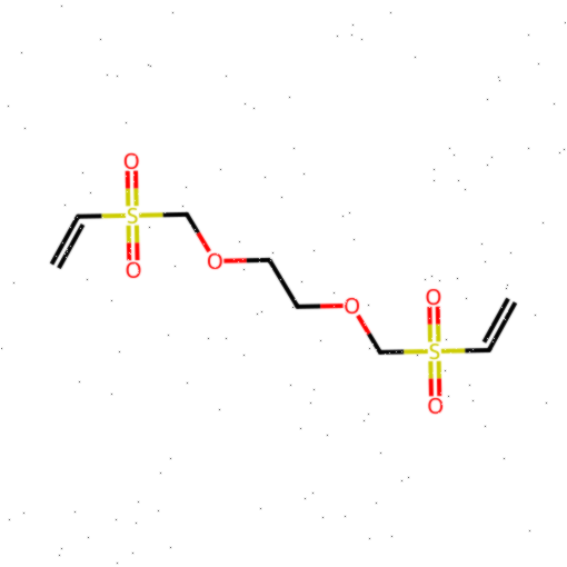 C=CS(=O)(=O)COCCOCS(=O)(=O)C=C